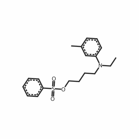 CCN(CCCCOS(=O)(=O)c1ccccc1)c1cccc(C)c1